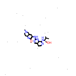 COc1nc2c(cc1Nc1ncc3ccnc(N[C@@H](CO)C(C)C)c3n1)CN(C)CC2